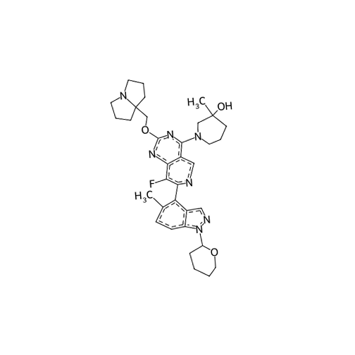 Cc1ccc2c(cnn2C2CCCCO2)c1-c1ncc2c(N3CCCC(C)(O)C3)nc(OCC34CCCN3CCC4)nc2c1F